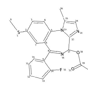 CSc1ccc2c(c1)C(c1ccccc1F)=NC(OC(C)=O)c1ncc(C)n1-2